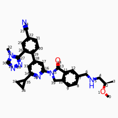 CO[C@H](C)CNCc1ccc2c(c1)C(=O)N(c1cc(-c3ccc(C#N)cc3-c3nncn3C)cc(C3CC3)n1)C2